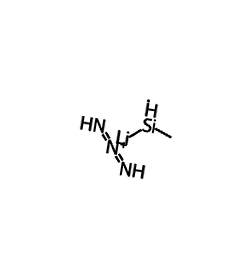 N=[N+]=N.[Li][SiH](C)C